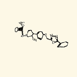 CC(C)(C)OC(=O)ON1CCC(c2ccc(OCc3nnc(-c4ccccc4)o3)cc2)C(O)C1